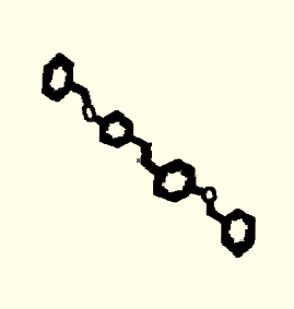 [C](=[C]\c1ccc(OCc2ccccc2)cc1)/c1ccc(OCc2ccccc2)cc1